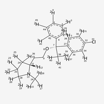 [2H]c1c([2H])c([2H])c([C@@](OCC[C@]2([2H])N(C([2H])([2H])[2H])C([2H])([2H])C([2H])([2H])C2([2H])[2H])(c2c([2H])c([2H])c(Cl)c([2H])c2[2H])C([2H])([2H])[2H])c([2H])c1[2H]